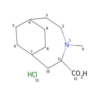 CN1CCC2CCC(CC2)CC1C(=O)O.Cl